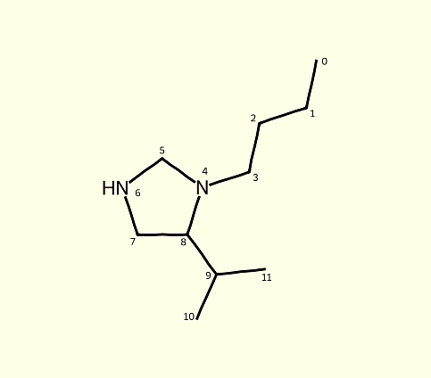 CCCCN1CNCC1C(C)C